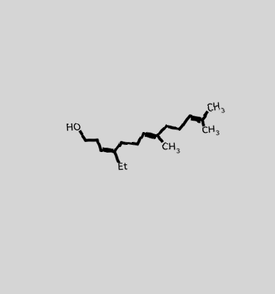 CC/C(=C/CCO)CC/C=C(\C)CCC=C(C)C